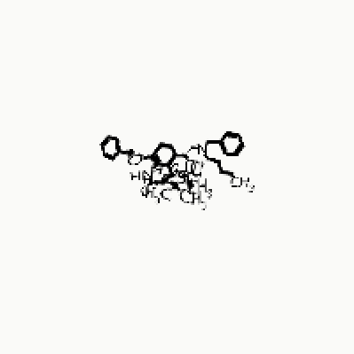 CCCC[C@H](Cl)N(Cc1ccccc1)C[C@H](O[Si](C)(C)C(C)(C)C)c1ccc(OCc2ccccc2)c2[nH]c(=O)ccc12